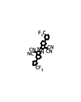 N#CC(C#N)=C1c2cc(-c3cccc(C(F)(F)F)c3)ccc2-c2nc3c(nc21)-c1ccc(-c2cccc(C(F)(F)F)c2)cc1C3=C(C#N)C#N